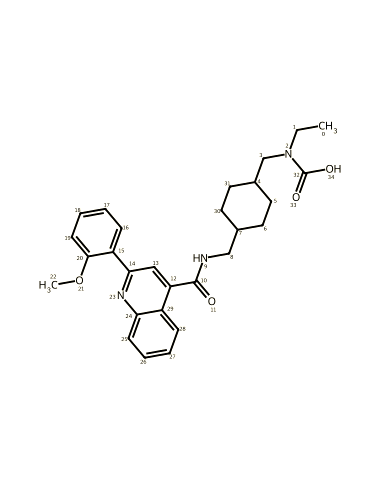 CCN(CC1CCC(CNC(=O)c2cc(-c3ccccc3OC)nc3ccccc23)CC1)C(=O)O